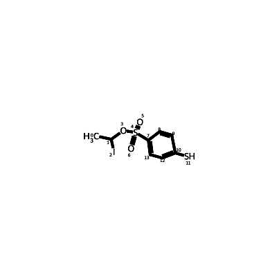 CC(I)OS(=O)(=O)c1ccc(S)cc1